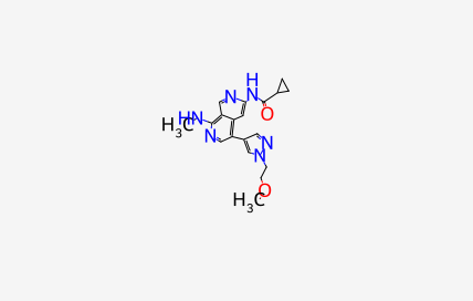 CNc1ncc(-c2cnn(CCOC)c2)c2cc(NC(=O)C3CC3)ncc12